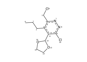 CCCc1c(CCl)nnc(Cl)c1C1OCCO1